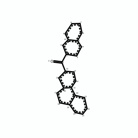 O=C(c1ccc2ccccc2c1)c1ccc2c(ccc3ccccc32)c1